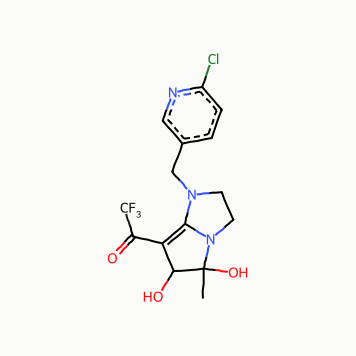 CC1(O)C(O)C(C(=O)C(F)(F)F)=C2N(Cc3ccc(Cl)nc3)CCN21